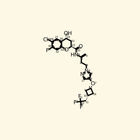 C=C(CCn1cc(O[C@H]2C[C@@H](CC(F)(F)F)C2)cn1)NC(=O)[C@@H]1C[C@@H](O)c2cc(Cl)c(F)cc2O1